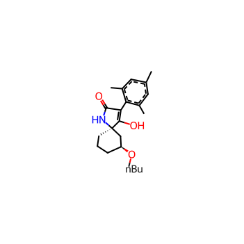 CCCCO[C@H]1CCC[C@]2(C1)NC(=O)C(c1c(C)cc(C)cc1C)=C2O